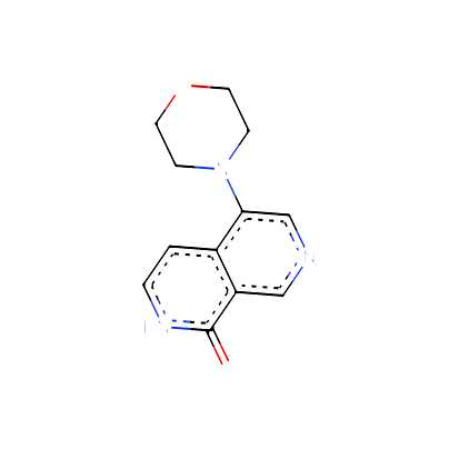 O=c1[nH]ccc2c(N3CCOCC3)cncc12